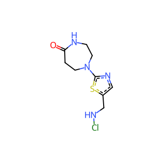 O=C1CCN(c2ncc(CNCl)s2)CCN1